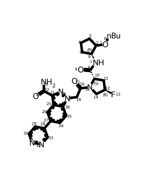 CCCCOC1CCC[C@H]1NC(=O)[C@@H]1C[C@@H](F)CN1C(=O)Cn1nc(C(N)=O)c2cc(-c3ccnnc3)ccc21